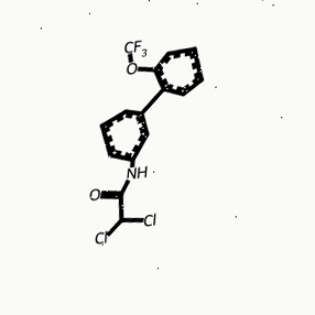 O=C(Nc1cccc(-c2ccccc2OC(F)(F)F)c1)C(Cl)Cl